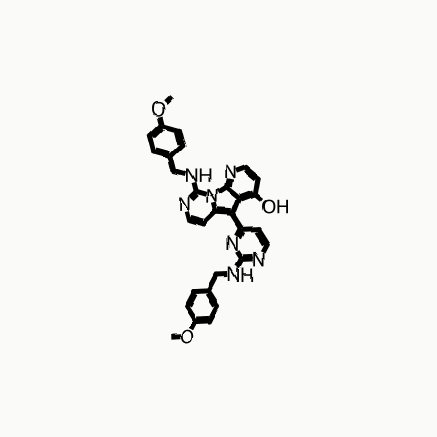 COc1ccc(CNc2nccc(-c3c4c(O)ccnc4n4c(NCc5ccc(OC)cc5)nccc34)n2)cc1